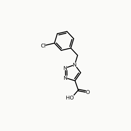 O=C(O)c1cn(Cc2cccc(Cl)c2)nn1